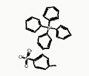 Cc1ccc(S(=O)(=O)[O-])cc1.c1ccc([N+](c2ccccc2)(c2ccccc2)c2ccccc2)cc1